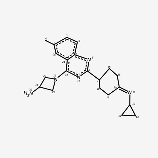 Cc1ccc2nc(C3CCC(=NC4CC4)CC3)nc(N3CC(N)C3)c2c1